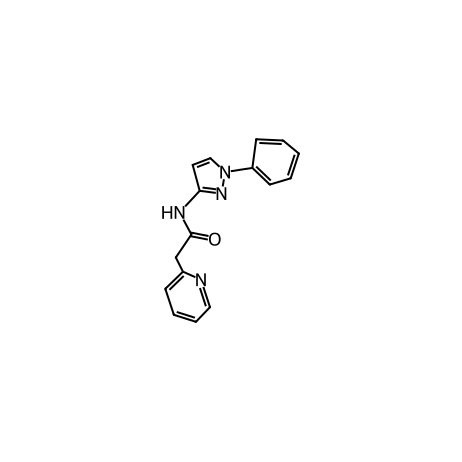 O=C(Cc1ccccn1)Nc1ccn(-c2ccccc2)n1